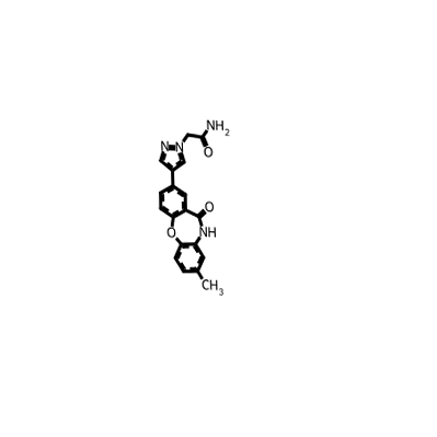 Cc1ccc2c(c1)NC(=O)c1cc(-c3cnn(CC(N)=O)c3)ccc1O2